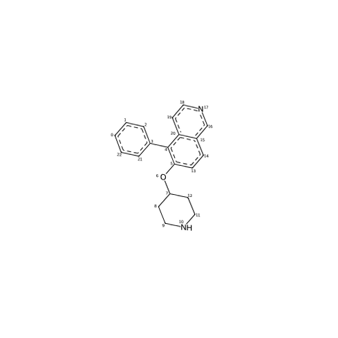 c1ccc(-c2c(OC3CCNCC3)ccc3cnccc23)cc1